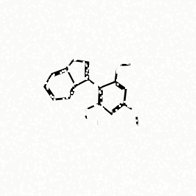 COc1cc(OC)c(C2=C[CH]c3ccccc32)c(OC)c1